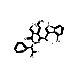 C=C/C=c1/c(C(C)c2c[nH]c3cccc(C)c23)nn(C(C(=O)O)c2ccccc2)c(=O)/c1=C/C